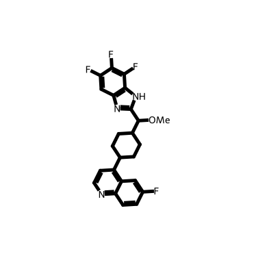 COC(c1nc2cc(F)c(F)c(F)c2[nH]1)C1CCC(c2ccnc3ccc(F)cc23)CC1